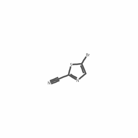 N#Cc1ncc(Br)s1